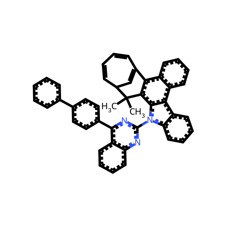 CC1(C)c2c(c3ccccc3c3c4ccccc4n(-c4nc(-c5ccc(-c6ccccc6)cc5)c5ccccc5n4)c23)C2=CC1C=CC=C2